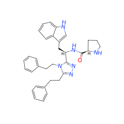 O=C(N[C@H](Cc1c[nH]c2ccccc12)c1nnc(CCc2ccccc2)n1CCc1ccccc1)[C@H]1CCCN1